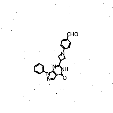 O=Cc1ccc(N2CC(c3nc4c(cnn4-c4ccccc4)c(=O)[nH]3)C2)cc1